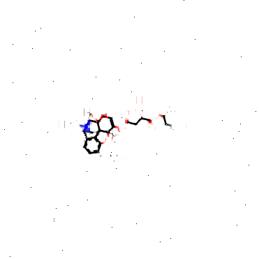 COc1ccc2c3c1O[C@H]1C(OC(=O)C[C@H](O)C(=O)O[C@H](CC(=O)O)C(C)=O)=CC[C@@]4(O)[C@@H](C2)N(C)CC[C@]314